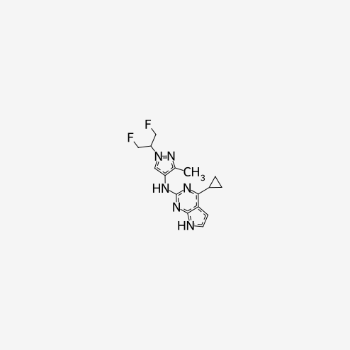 Cc1nn(C(CF)CF)cc1Nc1nc(C2CC2)c2cc[nH]c2n1